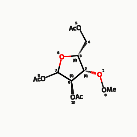 COO[C@H]1[C@@H](COC(C)=O)OC(OC(C)=O)[C@@H]1OC(C)=O